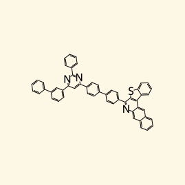 c1ccc(-c2cccc(-c3cc(-c4ccc(-c5ccc(-c6nc7cc8ccccc8cc7c7c6sc6ccccc67)cc5)cc4)nc(-c4ccccc4)n3)c2)cc1